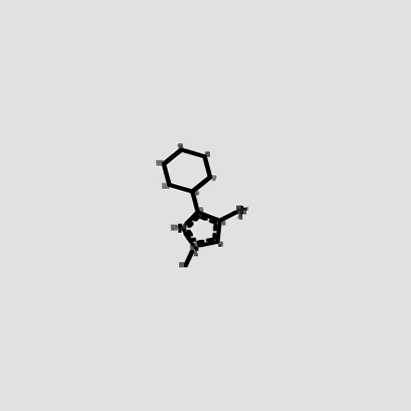 Cn1cc(Br)c(C2CCCCC2)n1